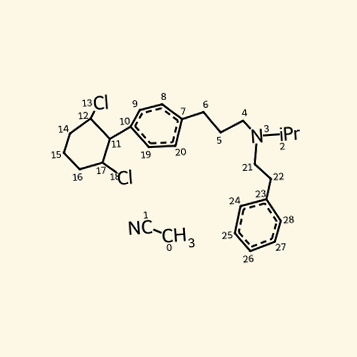 CC#N.CC(C)N(CCCc1ccc(C2C(Cl)CCCC2Cl)cc1)CCc1ccccc1